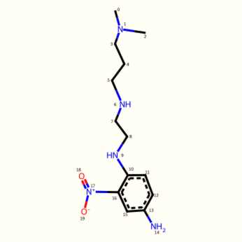 CN(C)CCCNCCNc1ccc(N)cc1[N+](=O)[O-]